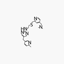 Cc1ccc(Cc2cnc(NCCSCc3cc(CN(C)C)ccn3)nc2)cn1